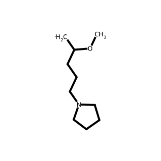 [CH2]C(CCCN1CCCC1)OC